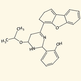 CC(C)OC1CC(C2=c3oc4ccccc4c3=CCC2)=NC(c2ccccc2O)N1